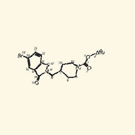 CC(C)(C)OC(=O)N1CCC(Cn2sc3ccc(Br)cc3c2=O)CC1